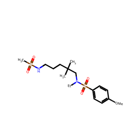 CCN(CC(C)(C)CCCNS(C)(=O)=O)S(=O)(=O)c1ccc(OC)cc1